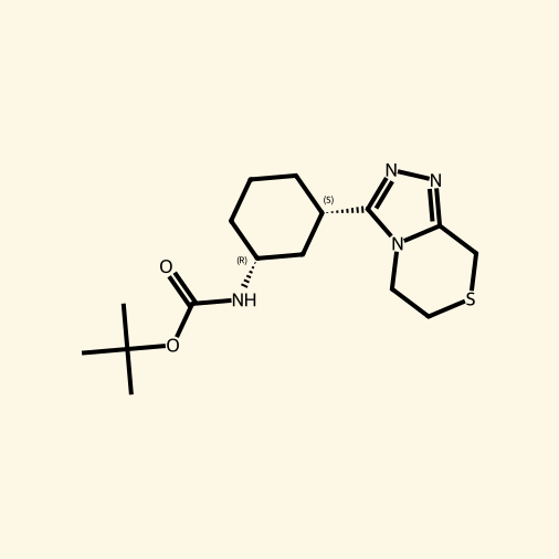 CC(C)(C)OC(=O)N[C@@H]1CCC[C@H](c2nnc3n2CCSC3)C1